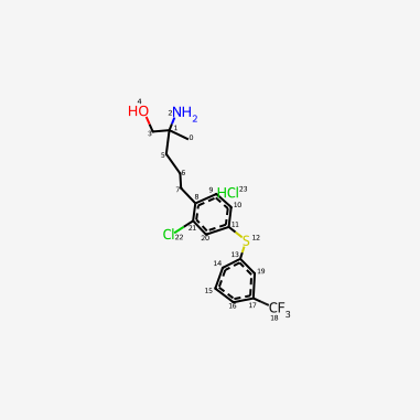 CC(N)(CO)CCCc1ccc(Sc2cccc(C(F)(F)F)c2)cc1Cl.Cl